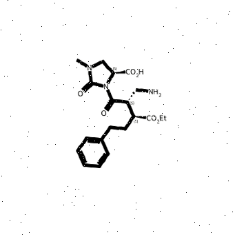 CCOC(=O)[C@@H](CCc1ccccc1)[C@@H](CN)C(=O)N1C(=O)N(C)C[C@H]1C(=O)O